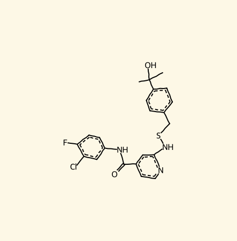 CC(C)(O)c1ccc(CSNc2cc(C(=O)Nc3ccc(F)c(Cl)c3)ccn2)cc1